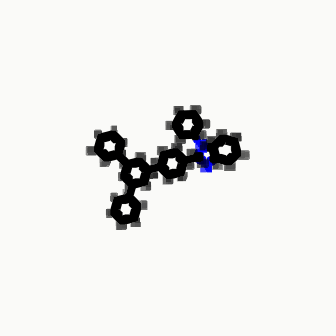 c1ccc(-c2cc(-c3ccccc3)cc(-c3ccc(-c4nc5ccccc5n4-c4ccccc4)cc3)c2)cc1